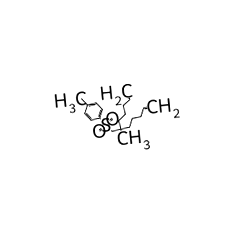 C=CCCCC(C)(CCCC=C)CS(=O)(=O)c1ccc(C)cc1